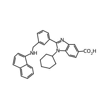 O=C(O)c1ccc2c(c1)nc(-c1cccc(CNc3cccc4ccccc34)c1)n2C1CCCCC1